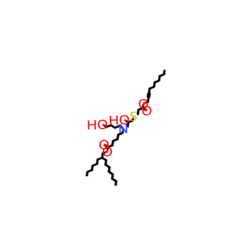 CCCCCCCC#CCOC(=O)CCSCC(O)CN(CCCCO)CCCCCC(=O)OCC(CCCCCC)CCCCCCCC